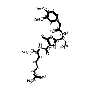 COc1ccc(CC(=O)N[C@@H](CC(C)C)c2nc(C(=O)N[C@@H](CCCNC(=N)N)C(=O)O)c(C)o2)cc1OC